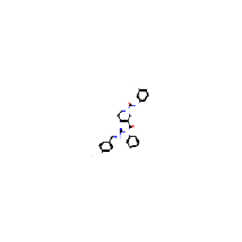 COc1ccc(CNc2nc3c(c(=O)n2-c2ccccc2)CN(C(=O)Nc2ccc(Cl)c(C(F)(F)F)c2)CC3)cc1